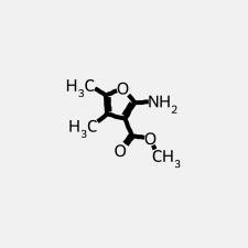 COC(=O)c1c(N)oc(C)c1C